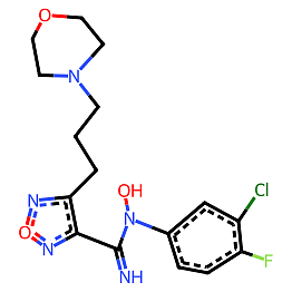 N=C(c1nonc1CCCN1CCOCC1)N(O)c1ccc(F)c(Cl)c1